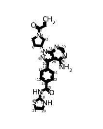 C=CC(=O)N1CC[C@@H](n2nc(-c3ccc(C(=O)NC4NC=CS4)cc3)c3c(N)ncnc32)C1